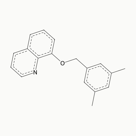 Cc1cc(C)cc(COc2cccc3cccnc23)c1